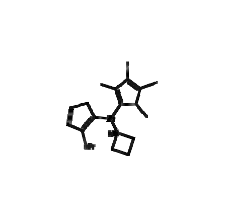 CCCC1=[C]([Zn]([C]2=C(C)C(C)=C(C)C2C)[SiH]2CCC2)CC=C1